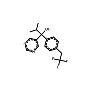 CC(C)C(O)(c1ccc(CC(F)(F)F)cc1)c1cncnc1